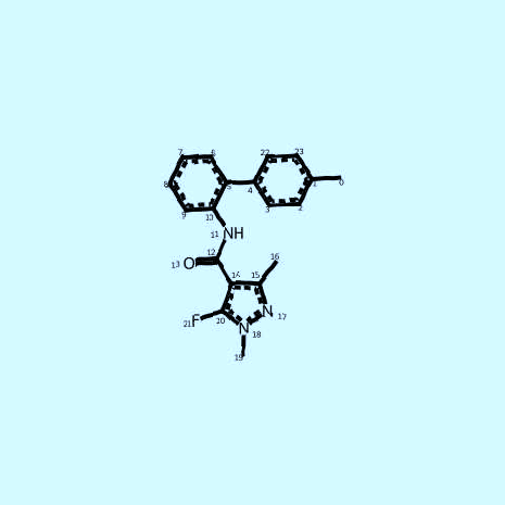 Cc1ccc(-c2ccccc2NC(=O)c2c(C)nn(C)c2F)cc1